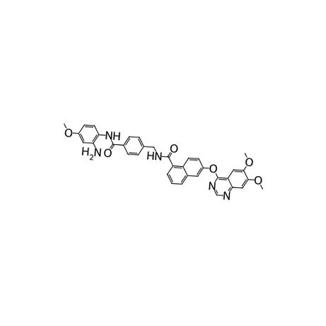 COc1ccc(NC(=O)c2ccc(CNC(=O)c3cccc4cc(Oc5ncnc6cc(OC)c(OC)cc56)ccc34)cc2)c(N)c1